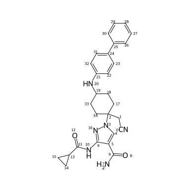 N#CCC1(n2cc(C(N)=O)c(NC(=O)C3CC3)n2)CCC(Nc2ccc(-c3ccccc3)cc2)CC1